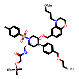 COCCCN1CCOc2ccc(CO[C@H]3CN(S(=O)(=O)c4ccc(C)cc4)[C@@H](CNC(=O)CO[Si](C)(C)C(C)(C)C)C[C@@H]3c3ccc(COCCOC)cc3)cc21